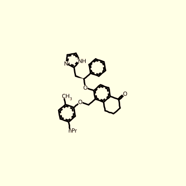 CCCc1ccc(C)c(OCc2c(O[C@@H](Cc3ncc[nH]3)c3ccccc3)ccc3c2CCCC3=O)c1